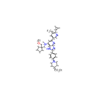 CCOCC1(CN(C)c2cc(-c3cnc(C4CC4)c(C(F)(F)F)c3)nc3nc(-c4ccc(N5CCC(C(=O)OCC)CC5)cc4)[nH]c23)CCCC1